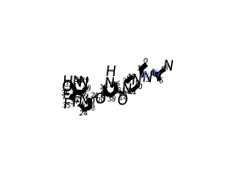 C=C/C(=N\C=C(/C)C#N)N1CCN(C(=O)[C@@H]2CNC[C@@H](OC[C@@H]3CCCN3c3cn[nH]c(=O)c3C(F)(F)F)C2)CC1